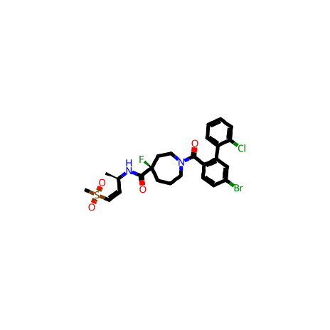 C[C@H](/C=C\S(C)(=O)=O)NC(=O)[C@@]1(F)CCCN(C(=O)c2ccc(Br)cc2-c2ccccc2Cl)CC1